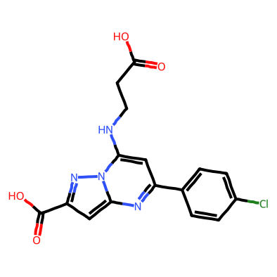 O=C(O)CCNc1cc(-c2ccc(Cl)cc2)nc2cc(C(=O)O)nn12